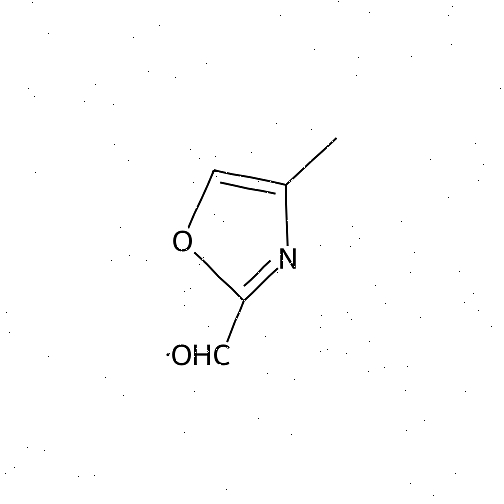 Cc1coc([C]=O)n1